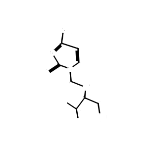 Nc1ccn(COC(CO)C(O)O)c(=O)n1